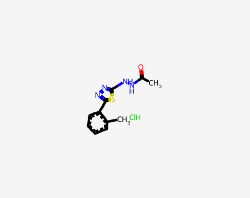 CC(=O)NNc1nnc(-c2ccccc2C)s1.Cl